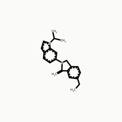 C=C1c2cc(CC)ccc2CN1c1ccc2ccn(C(C)C)c2c1